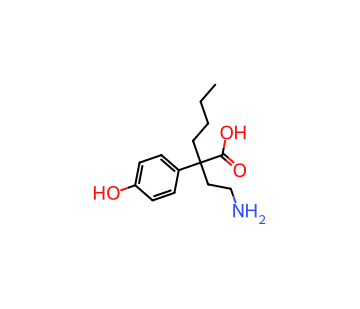 CCCCC(CCN)(C(=O)O)c1ccc(O)cc1